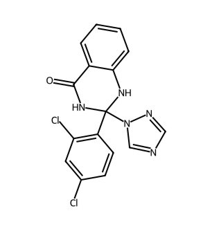 O=C1NC(c2ccc(Cl)cc2Cl)(n2cncn2)Nc2ccccc21